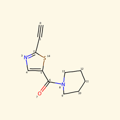 C#Cc1ncc(C(=O)N2CCCCC2)s1